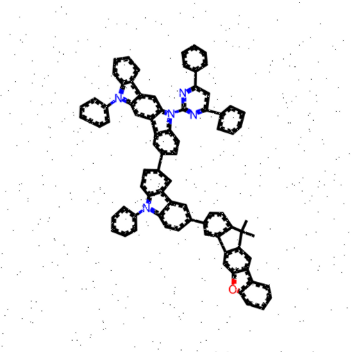 CC1(C)c2ccc(-c3ccc4c(c3)c3cc(-c5ccc6c(c5)c5cc7c(cc5n6-c5nc(-c6ccccc6)cc(-c6ccccc6)n5)c5ccccc5n7-c5ccccc5)ccc3n4-c3ccccc3)cc2-c2cc3oc4ccccc4c3cc21